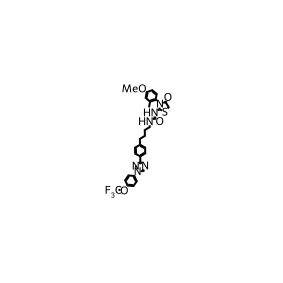 COc1ccc(N2C(=O)CSC2NC(=O)NCCCCc2ccc(-c3ncn(-c4ccc(OC(F)(F)F)cc4)n3)cc2)c(C)c1